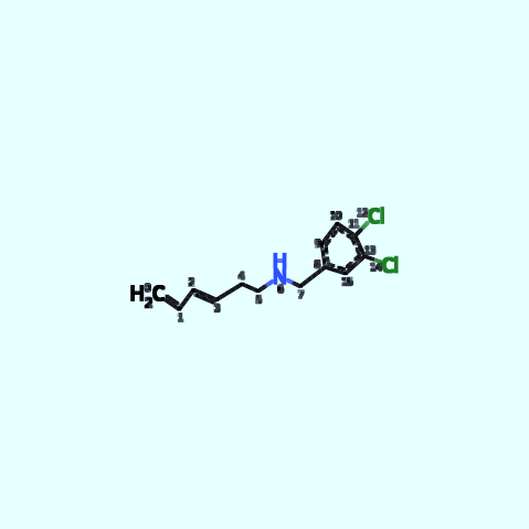 C=C/C=C/CCNCc1ccc(Cl)c(Cl)c1